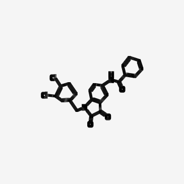 O=C(Nc1ccc2c(c1)C(=O)C(=O)N2Cc1ccc(Cl)c(Cl)c1)c1ccccc1